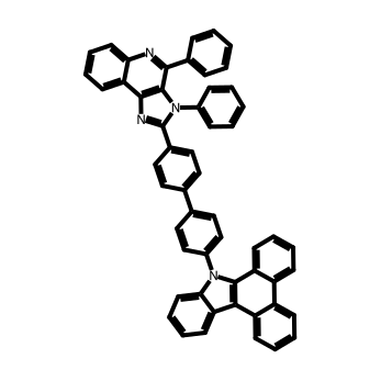 c1ccc(-c2nc3ccccc3c3nc(-c4ccc(-c5ccc(-n6c7ccccc7c7c8ccccc8c8ccccc8c76)cc5)cc4)n(-c4ccccc4)c23)cc1